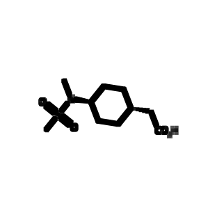 CN([C@H]1CC[C@H](CC(=O)O)CC1)S(C)(=O)=O